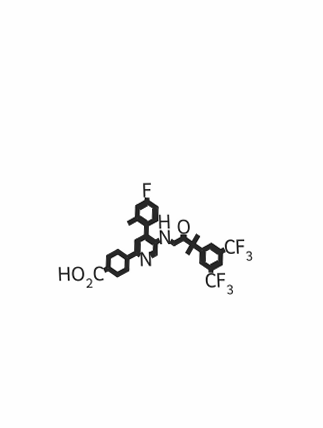 Cc1cc(F)ccc1-c1cc(C2CCC(C(=O)O)CC2)ncc1NCC(=O)C(C)(C)c1cc(C(F)(F)F)cc(C(F)(F)F)c1